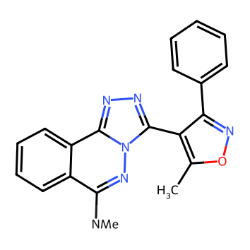 CNc1nn2c(-c3c(-c4ccccc4)noc3C)nnc2c2ccccc12